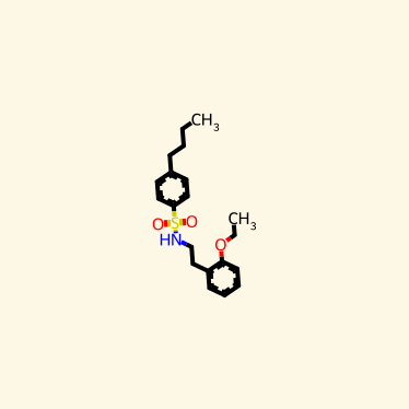 CCCCc1ccc(S(=O)(=O)NCCc2ccccc2OCC)cc1